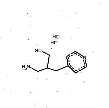 Cl.Cl.NCC(CO)Cc1ccncc1